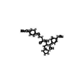 CCCCc1ccc([C@@H](O)[C@@H](CN2CCCC2)NC(=O)CCOc2ccc(OC)cc2)cc1